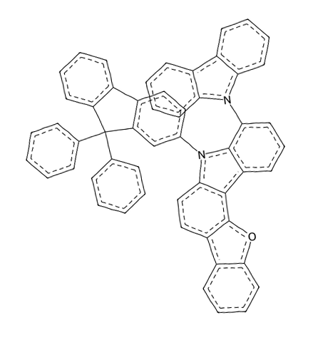 c1ccc(C2(c3ccccc3)c3ccccc3-c3ccc(-n4c5ccc6c7ccccc7oc6c5c5cccc(-n6c7ccccc7c7ccccc76)c54)cc32)cc1